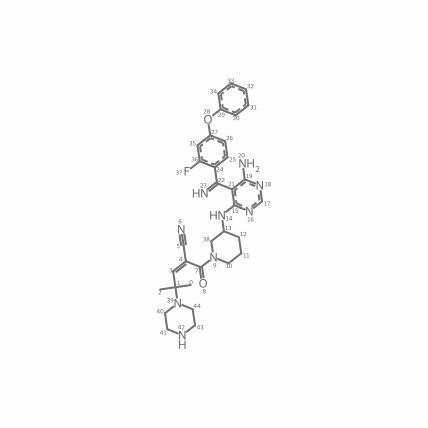 CC(C)(/C=C(/C#N)C(=O)N1CCCC(Nc2ncnc(N)c2C(=N)c2ccc(Oc3ccccc3)cc2F)C1)N1CCNCC1